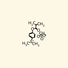 C=C(C)C(=O)Oc1ccc([S+](C)C)cc1.CS(=O)(=O)[O-]